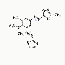 Cc1noc(/N=N/c2cc(O)c(N(C)C)c(/N=N/c3nccs3)c2)n1